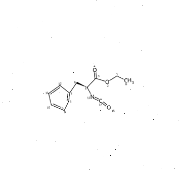 CCOC(=O)[C@H](Cc1ccccc1)N=C=O